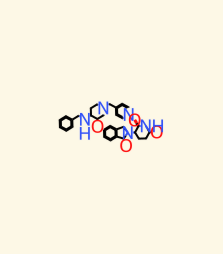 O=C1CCC(N2Cc3cc(O[C@@H]4CN(Cc5ccncc5)CC[C@H]4NCc4ccccc4)ccc3C2=O)C(=O)N1